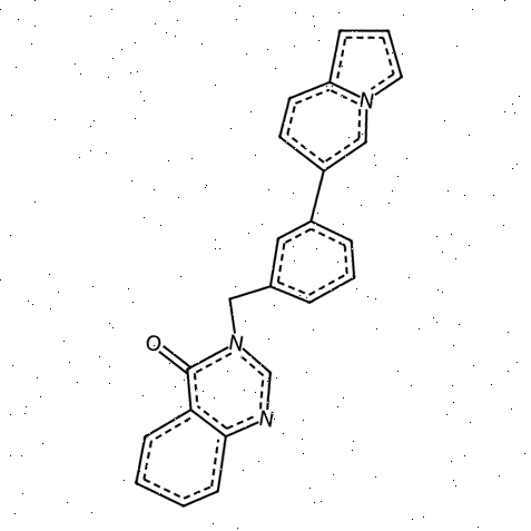 O=c1c2ccccc2ncn1Cc1cccc(-c2ccc3cccn3c2)c1